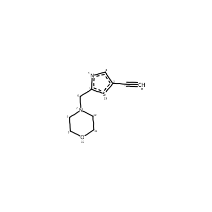 C#Cc1cnc(CN2CCOCC2)s1